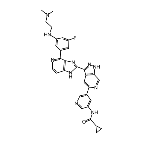 CN(C)CCNc1cc(F)cc(-c2nccc3[nH]c(-c4n[nH]c5cnc(-c6cncc(NC(=O)C7CC7)c6)cc45)nc23)c1